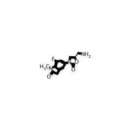 CN1C(=O)Cc2cc(N3C[C@@H](CN)OC3=O)cc(F)c21